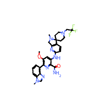 COc1cc(Nc2ccc3c(n2)CN(C)C32CCN(CC(F)(F)F)CC2)c(C(N)=O)nc1-c1cccc2c1ncn2C